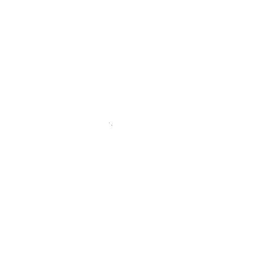 Cc1cc(C)cc(N2CC=Cc3cc(C(C)C)ccc32)c1